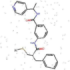 CC(=O)SCC(Cc1ccccc1)C(=O)Nc1cccc(C(=O)NC(C)c2ccncc2)c1